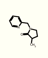 C[C]1CCN(Cc2ccccn2)C1=O